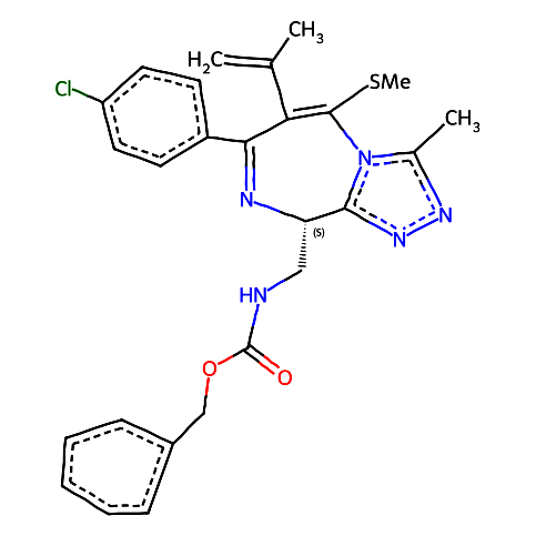 C=C(C)C1=C(SC)n2c(C)nnc2[C@H](CNC(=O)OCc2ccccc2)N=C1c1ccc(Cl)cc1